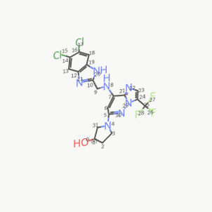 O[C@@H]1CCN(c2cc(NCc3nc4cc(Cl)c(Cl)cc4[nH]3)c3ncc(C(F)(F)F)n3n2)C1